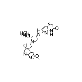 COc1ccc2ncc(Cl)c(CCN3CCC(NCc4ccc5c(n4)NC(=O)CS5)CC3)c2c1.Cl.Cl.Cl